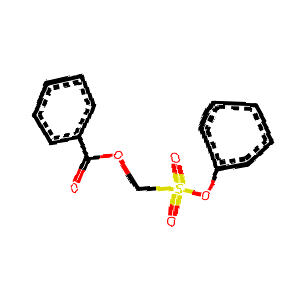 O=C(OCS(=O)(=O)Oc1ccccc1)c1ccccc1